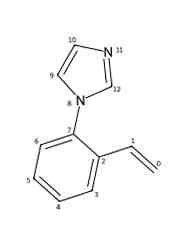 C=Cc1ccccc1-n1ccnc1